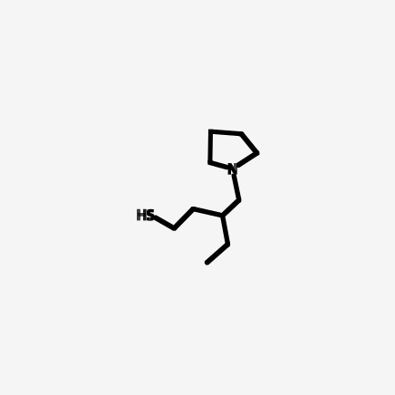 CCC(CCS)CN1CCCC1